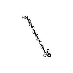 O=C1c2ccccc2C(=O)N1CCCCOCCOCCOCCOCCOCCOCCOCCOCCO